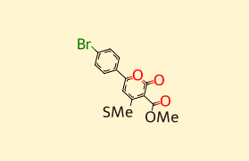 COC(=O)c1c(SC)cc(-c2ccc(Br)cc2)oc1=O